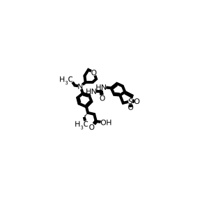 CC[C@@H](CC(=O)O)c1ccc(N(CC)C2CCOCC2)c(NC(=O)NC2=CCC3=CS(=O)(=O)CC3=C2)c1